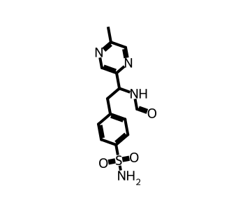 Cc1cnc(C(Cc2ccc(S(N)(=O)=O)cc2)NC=O)cn1